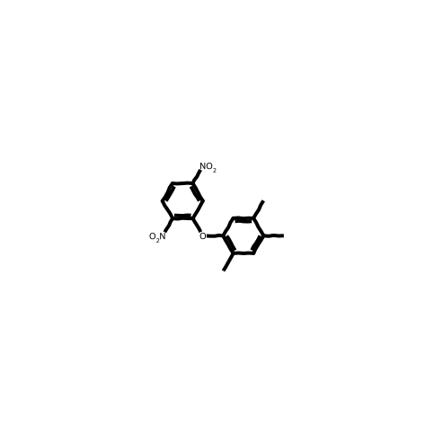 Cc1cc(C)c(Oc2cc([N+](=O)[O-])ccc2[N+](=O)[O-])cc1C